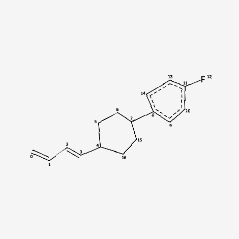 C=CC=CC1CCC(c2ccc(F)cc2)CC1